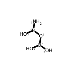 NB(O)OB(O)O